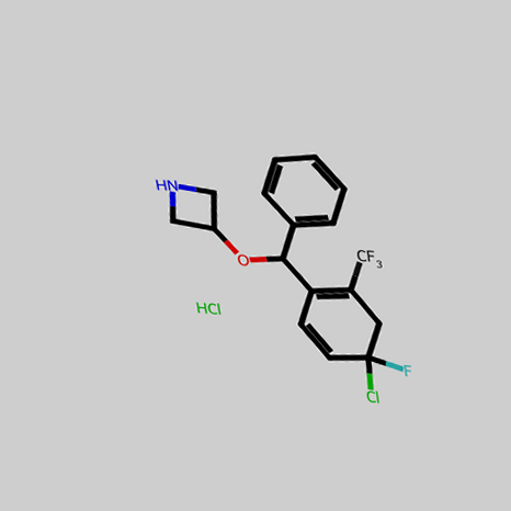 Cl.FC1(Cl)C=CC(C(OC2CNC2)c2ccccc2)=C(C(F)(F)F)C1